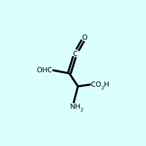 NC(C(=O)O)C(=C=O)C=O